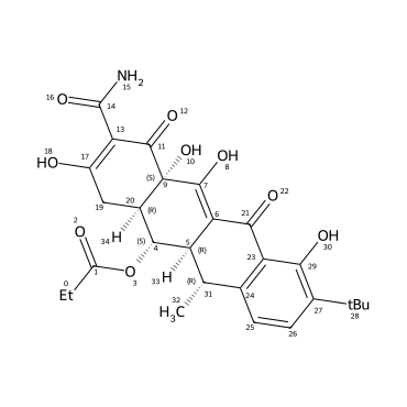 CCC(=O)O[C@H]1[C@H]2C(=C(O)[C@]3(O)C(=O)C(C(N)=O)=C(O)C[C@H]13)C(=O)c1c(ccc(C(C)(C)C)c1O)[C@@H]2C